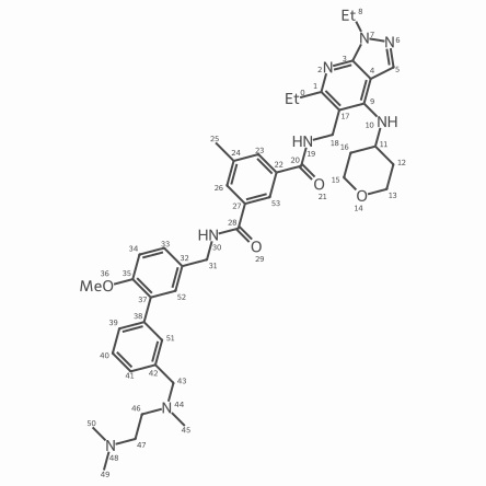 CCc1nc2c(cnn2CC)c(NC2CCOCC2)c1CNC(=O)c1cc(C)cc(C(=O)NCc2ccc(OC)c(-c3cccc(CN(C)CCN(C)C)c3)c2)c1